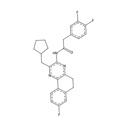 O=C(Cc1ccc(F)c(F)c1)Nc1nc2c(nc1CC1CCCC1)-c1ccc(F)cc1CC2